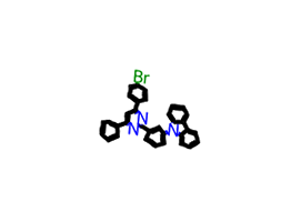 Brc1ccc(-c2cc(-c3ccccc3)nc(-c3cccc(-n4c5ccccc5c5ccccc54)c3)n2)cc1